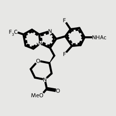 COC(=O)N1CCO[C@@H](Cc2c(-c3c(F)cc(NC(C)=O)cc3F)nc3cc(C(F)(F)F)ccn23)C1